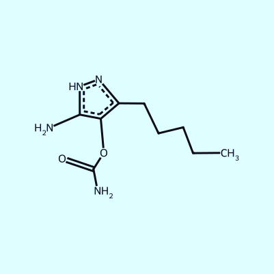 CCCCCc1n[nH]c(N)c1OC(N)=O